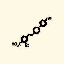 CCCc1ccc([C@H]2CC[C@H](CCc3ccc(C(=O)O)c(CC)c3)CC2)cc1